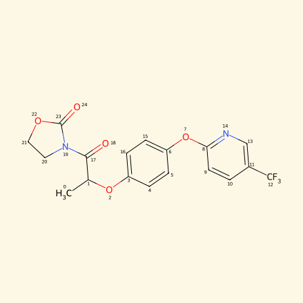 CC(Oc1ccc(Oc2ccc(C(F)(F)F)cn2)cc1)C(=O)N1CCOC1=O